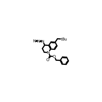 CC(C)(C)Cc1ccc2c(c1)C(N=[N+]=[N-])CCN2C(=O)OCc1ccccc1